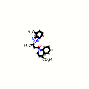 Cc1cccc2nn(C(C)CC(=O)N3CCC(C(=O)O)C4CCCCC43)nc12